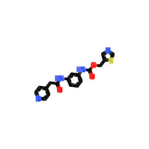 O=C(Cc1ccncc1)Nc1cccc(NC(=O)OCc2cncs2)c1